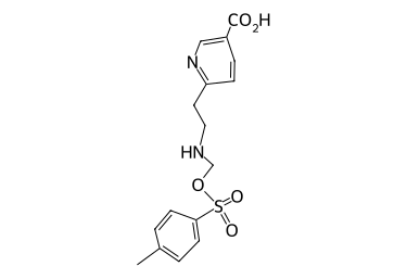 Cc1ccc(S(=O)(=O)OCNCCc2ccc(C(=O)O)cn2)cc1